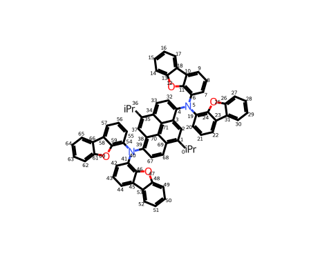 CC(C)c1cc2c(N(c3cccc4c3oc3ccccc34)c3cccc4c3oc3ccccc34)ccc3c(C(C)C)cc4c(N(c5cccc6c5oc5ccccc56)c5cccc6c5oc5ccccc56)ccc1c4c32